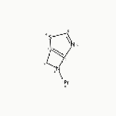 CC(C)N1Cc2scnc21